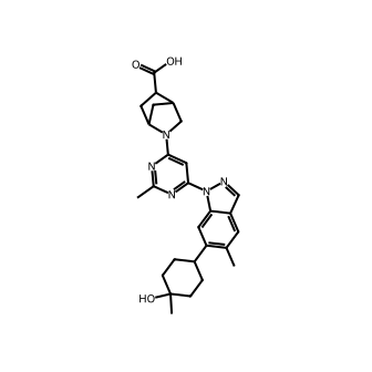 Cc1nc(N2CC3CC2CC3C(=O)O)cc(-n2ncc3cc(C)c(C4CCC(C)(O)CC4)cc32)n1